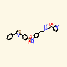 O=S(=O)(Nc1ccc(CCNCC(O)c2cccnc2)cc1)c1ccc(-c2nc(-c3ccccc3)cs2)cc1